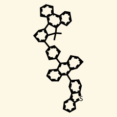 CC1(C)c2c(-c3ccc(-c4c5ccccc5c(-c5ccc6sc7ccccc7c6c5)c5ccccc45)cc3)cccc2-c2c1c1ccccc1c1ccccc21